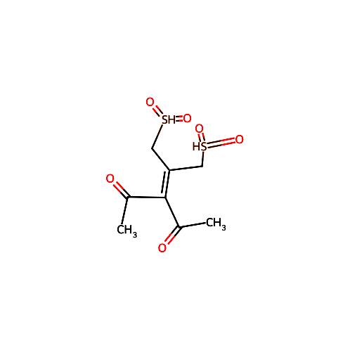 CC(=O)C(C(C)=O)=C(C[SH](=O)=O)C[SH](=O)=O